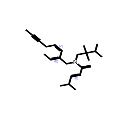 C=C(/C=C/C(C)C)N(CC(/C=C\CC#CC)=C/C)CC(C)(C)C(C)C